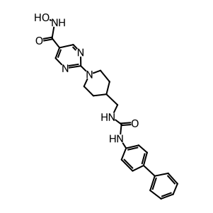 O=C(NCC1CCN(c2ncc(C(=O)NO)cn2)CC1)Nc1ccc(-c2ccccc2)cc1